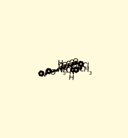 COc1ccc2[nH]c(C)c(C(C(=O)OC(=O)c3ccc(Cl)cc3)C(C)C[S+]([O-])CC(=O)NCCCOc3cccc(CN4CCCCC4)c3)c2c1